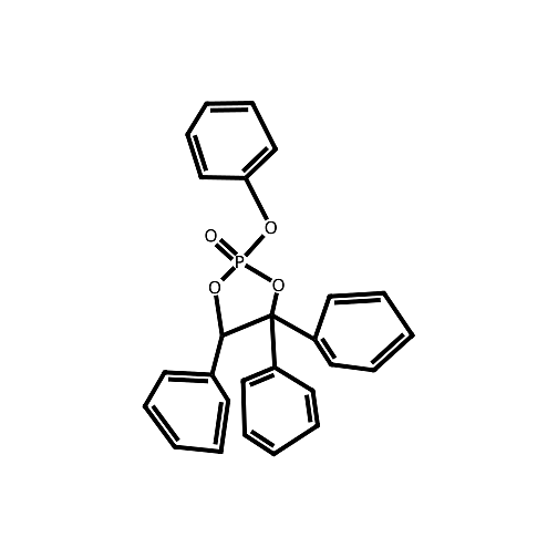 O=P1(Oc2ccccc2)OC(c2ccccc2)C(c2ccccc2)(c2ccccc2)O1